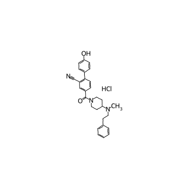 CN(CCc1ccccc1)C1CCN(C(=O)c2ccc(-c3ccc(O)cc3)c(C#N)c2)CC1.Cl